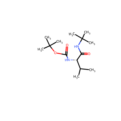 CC(C)[C@H](NC(=O)OC(C)(C)C)C(=O)NC(C)(C)C